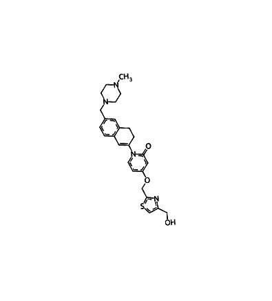 CN1CCN(Cc2ccc3c(c2)CCC(n2ccc(OCc4nc(CO)cs4)cc2=O)=C3)CC1